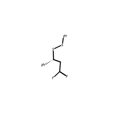 CC(C)SS[C@H](CC(F)F)C(C)C